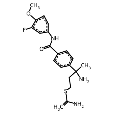 C=C(N)SCCC(C)(N)c1ccc(C(=O)Nc2ccc(OC)c(F)c2)cc1